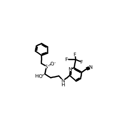 N#Cc1ccc(NCC[C@H](O)[S+]([O-])Cc2ccccc2)nc1C(F)(F)F